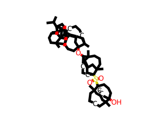 CC(C)C12CCCC3(C45CCCC6(OC78CCCC9(S(=O)(=O)C%10%11CCCC(O)(CCC%10)C%10(C)CCCCC%11(C)CCC%10)C/C%10=C\7C8(C)CCCC9(C)C%10)C/C7=C\4C5(C)CCCCC6(C)C7)C/C4=C\1C2(C)CCCC3(C)CC4